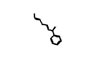 [CH2]C(C=CCC=CC)c1ccccc1